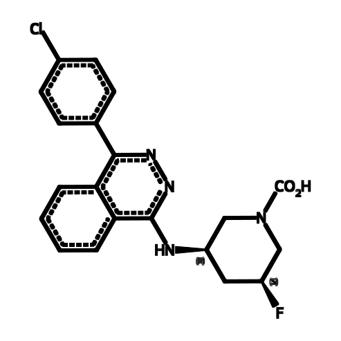 O=C(O)N1C[C@@H](F)C[C@@H](Nc2nnc(-c3ccc(Cl)cc3)c3ccccc23)C1